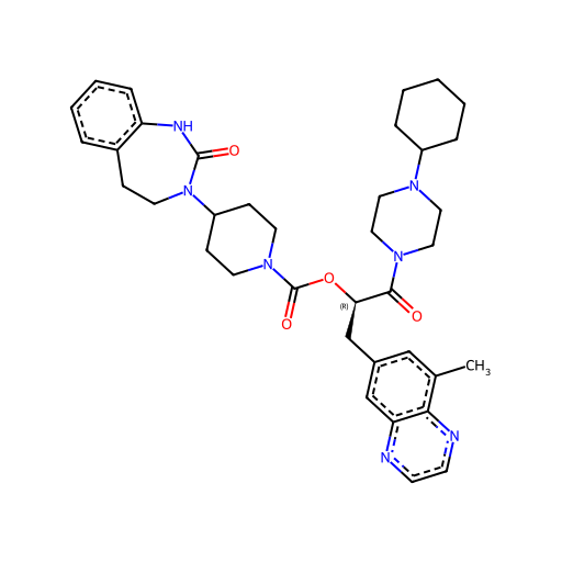 Cc1cc(C[C@@H](OC(=O)N2CCC(N3CCc4ccccc4NC3=O)CC2)C(=O)N2CCN(C3CCCCC3)CC2)cc2nccnc12